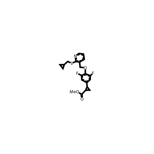 COC(=O)C1CC1c1cc(F)c(OCc2cccnc2SCC2CC2)c(F)c1